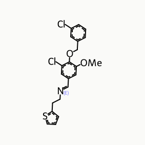 COc1cc(/C=N/CCc2cccs2)cc(Cl)c1OCc1cccc(Cl)c1